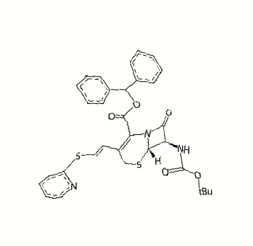 CC(C)(C)OC(=O)N[C@@H]1C(=O)N2C(C(=O)OC(c3ccccc3)c3ccccc3)=C(/C=C/Sc3ccccn3)CS[C@@H]12